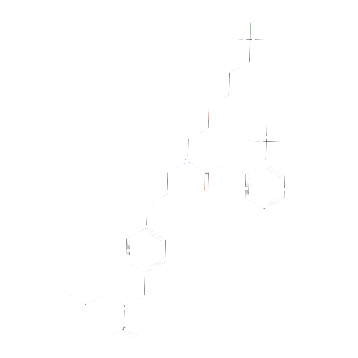 CCOC(Cc1ccc(OCCN(CCOCCCC(F)(F)F)C(=O)Oc2ccccc2C(F)(F)F)cc1)C(=O)O